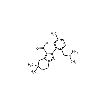 Cc1ccc(CN(C)N)c(-c2sc3c(c2C(=O)O)CC(C)(C)CC3)c1